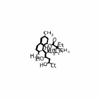 CC[C@@H](O)C[C@@H](O)[C@@H](C(=O)O)[C@H]1C(C)C=CC2=C[C@H](C)C[C@H](OC(=O)C(C)(C)CC)[C@@H]21